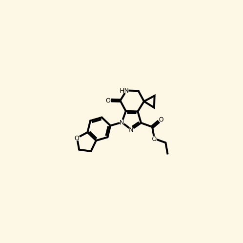 CCOC(=O)c1nn(-c2ccc3c(c2)CCO3)c2c1C1(CC1)CNC2=O